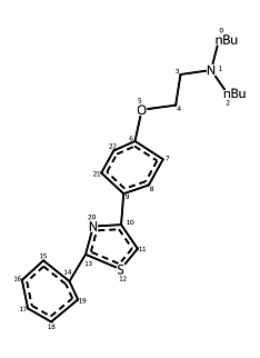 CCCCN(CCCC)CCOc1ccc(-c2csc(-c3ccccc3)n2)cc1